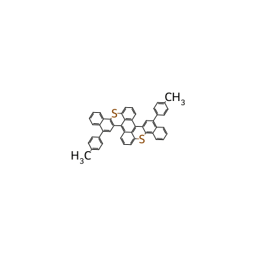 Cc1ccc(-c2cc3c(sc4cccc5c4c3c3cccc4sc6c7ccccc7c(-c7ccc(C)cc7)cc6c5c43)c3ccccc23)cc1